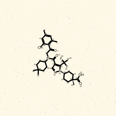 Cc1cc(C)c(C(=O)CN(C(=O)c2cnn([C@H]3CC[C@](C)(C(=O)O)CC3)c2C(F)(F)F)C2CCC(C)(C)CC2)c(Cl)c1